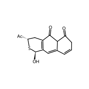 CC(=O)[C@@H]1CC2=C(C=C3C=CCC(=O)C3C2=O)[C@@H](O)S1